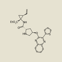 C=C[C@@H]1C[C@]1(NC(=O)[C@@H]1C[C@@H](Oc2nc3ccccc3nc2-c2cccs2)CN1)C(=O)OCC